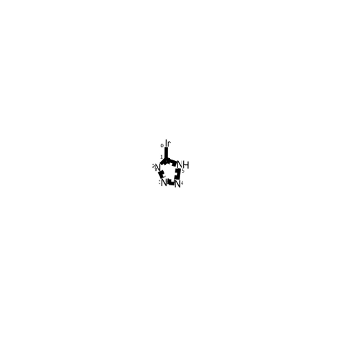 [Ir][c]1nnn[nH]1